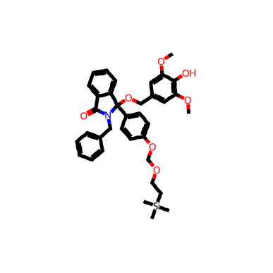 COc1cc(COC2(c3ccc(OCOCC[Si](C)(C)C)cc3)c3ccccc3C(=O)N2Cc2ccccc2)cc(OC)c1O